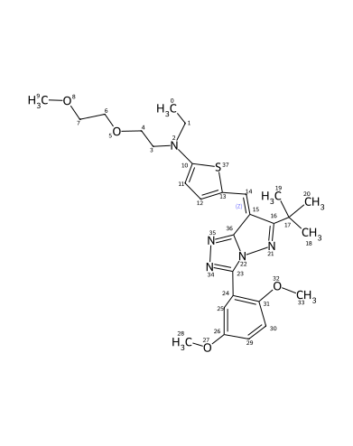 CCN(CCOCCOC)c1ccc(/C=c2/c(C(C)(C)C)nn3c(-c4cc(OC)ccc4OC)nnc23)s1